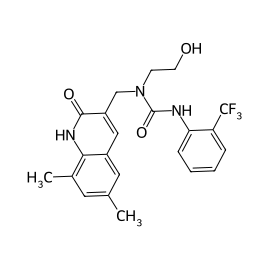 Cc1cc(C)c2[nH]c(=O)c(CN(CCO)C(=O)Nc3ccccc3C(F)(F)F)cc2c1